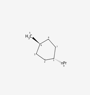 CCC[C@@H]1[CH]C[C@@H](C)CC1